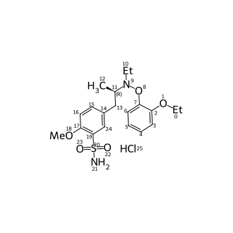 CCOc1ccccc1ON(CC)[C@H](C)Cc1ccc(OC)c(S(N)(=O)=O)c1.Cl